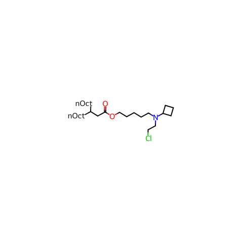 CCCCCCCCC(CCCCCCCC)CC(=O)OCCCCCN(CCCl)C1CCC1